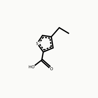 CCc1csc(C(=O)O)c1